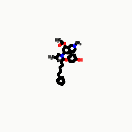 CC(=O)OC1CC(N(CC(C)C)C(=O)CCCCCc2ccccc2)CC2(c3cccc(O)c3)CCN(C)CC12